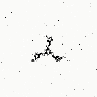 CC(C)n1cc(COc2nc(OCc3cn(C(C)C)nn3)nc(OCc3cn(C(C)(C)C)nn3)n2)nn1